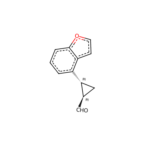 O=C[C@@H]1C[C@H]1c1cccc2occc12